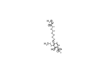 CCCc1c(OCCCCCCCC(=O)OC)ccc(C(C)=O)c1O